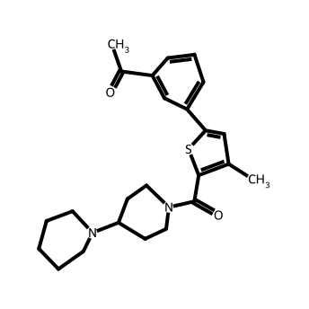 CC(=O)c1cccc(-c2cc(C)c(C(=O)N3CCC(N4CCCCC4)CC3)s2)c1